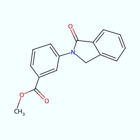 COC(=O)c1cccc(N2Cc3ccccc3C2=O)c1